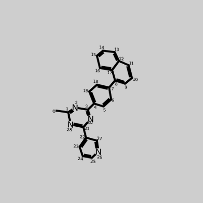 Cc1nc(-c2ccc(-c3cccc4ccccc34)cc2)nc(-c2cccnc2)n1